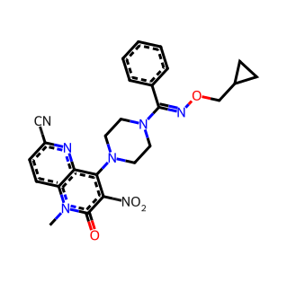 Cn1c(=O)c([N+](=O)[O-])c(N2CCN(/C(=N/OCC3CC3)c3ccccc3)CC2)c2nc(C#N)ccc21